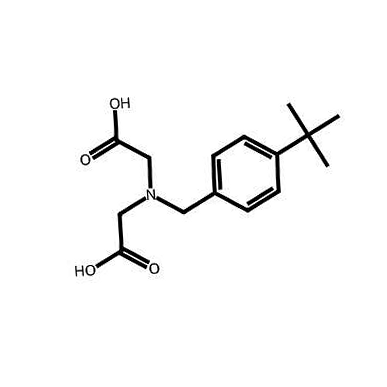 CC(C)(C)c1ccc(CN(CC(=O)O)CC(=O)O)cc1